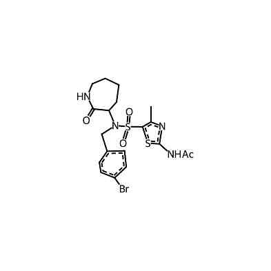 CC(=O)Nc1nc(C)c(S(=O)(=O)N(Cc2ccc(Br)cc2)C2CCCCNC2=O)s1